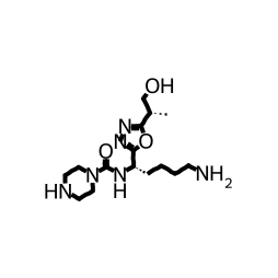 C[C@@H](CO)c1nnc([C@H](CCCCN)NC(=O)N2CCNCC2)o1